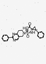 O=C(O)[C@@]1(NS(=O)(=O)N2CCc3nc(-c4ccccc4)ncc3C2)C[C@H]1c1ccccc1